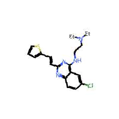 CCN(CC)CCNc1nc(C=Cc2cccs2)nc2ccc(Cl)cc12